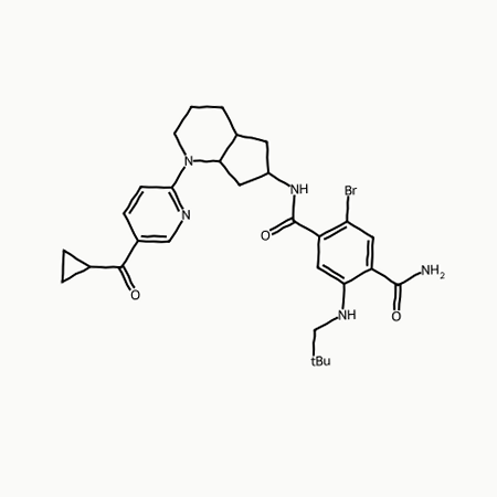 CC(C)(C)CNc1cc(C(=O)NC2CC3CCCN(c4ccc(C(=O)C5CC5)cn4)C3C2)c(Br)cc1C(N)=O